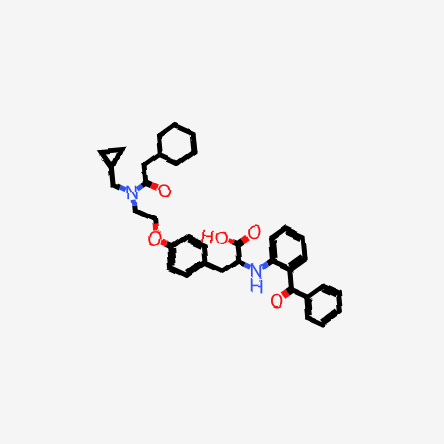 O=C(c1ccccc1)c1ccccc1NC(Cc1ccc(OCCN(CC2CC2)C(=O)CC2CCCCC2)cc1)C(=O)O